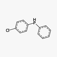 Clc1ccc(Pc2ccccc2)cc1